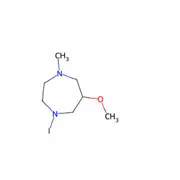 COC1CN(C)CCN(I)C1